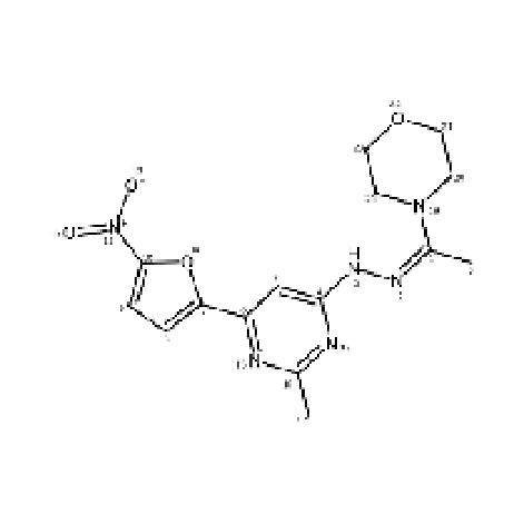 CC(=NNc1cc(-c2ccc([N+](=O)[O-])o2)nc(C)n1)N1CCOCC1